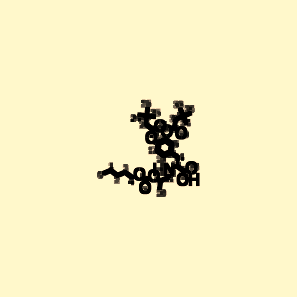 CCCCCOC(=O)OC(C)CN[C@@H](Cc1ccc(OC(=O)CC(C)(C)C)c(OC(=O)CC(C)(C)C)c1)C(=O)O